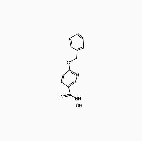 N=C(NO)c1ccc(OCc2ccccc2)nc1